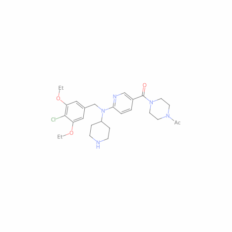 CCOc1cc(CN(c2ccc(C(=O)N3CCN(C(C)=O)CC3)cn2)C2CCNCC2)cc(OCC)c1Cl